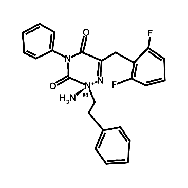 N[N@+]1(CCc2ccccc2)N=C(Cc2c(F)cccc2F)C(=O)N(c2ccccc2)C1=O